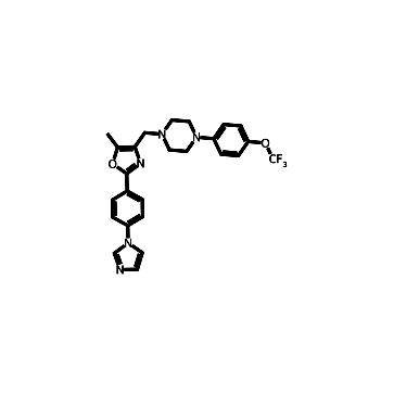 Cc1oc(-c2ccc(-n3ccnc3)cc2)nc1CN1CCN(c2ccc(OC(F)(F)F)cc2)CC1